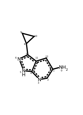 Nc1cnc2[nH]nc(C3CC3)c2c1